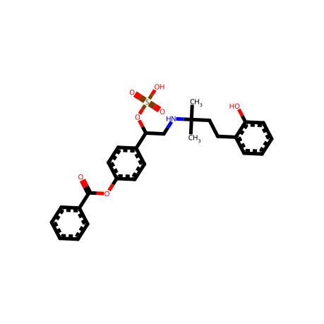 CC(C)(CCc1ccccc1O)NCC(OS(=O)(=O)O)c1ccc(OC(=O)c2ccccc2)cc1